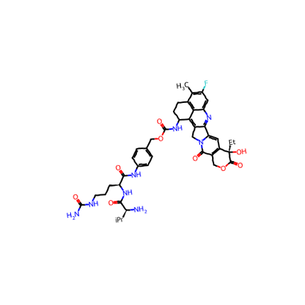 CC[C@@]1(O)C(=O)OCc2c1cc1n(c2=O)Cc2c-1nc1cc(F)c(C)c3c1c2C(NC(=O)OCc1ccc(NC(=O)[C@H](CCCNC(N)=O)NC(=O)[C@@H](N)C(C)C)cc1)CC3